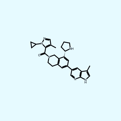 Cc1cnn(C2CC2)c1C(=O)N1CCc2cc(-c3cnc4[nH]cc(C)c4c3)cc([C@@H]3CCCN3)c2C1